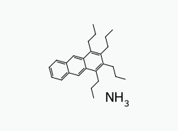 CCCc1c(CCC)c(CCC)c2cc3ccccc3cc2c1CCC.N